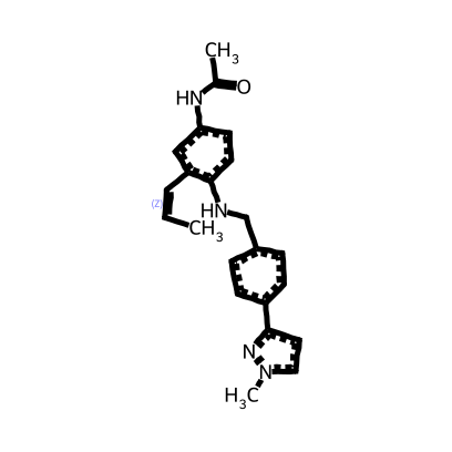 C/C=C\c1cc(NC(C)=O)ccc1NCc1ccc(-c2ccn(C)n2)cc1